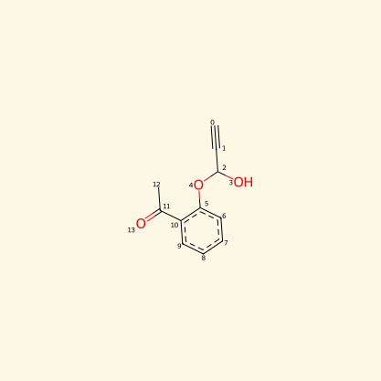 C#CC(O)Oc1ccccc1C(C)=O